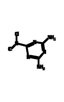 Nc1nc(N)nc(N(Cl)Cl)n1